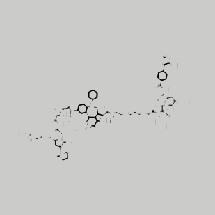 Cc1ncsc1-c1ccc([C@H](CO)NC(=O)[C@@H]2C[C@@H](O)CN2C(=O)[C@@H](NC(=O)COCCCOCCNC(=O)c2[nH]c3c(=O)n(C)cc4c3c2CN(c2ccccc2)c2ccc(NC(=O)[C@H](C)NC(=O)[C@H](C)NC(=O)CN3C(=O)[C@@H](N5C(=O)C=CC5=O)C[C@H]3COCCS(=O)(=O)O)cc2-4)C(C)(C)C)cc1